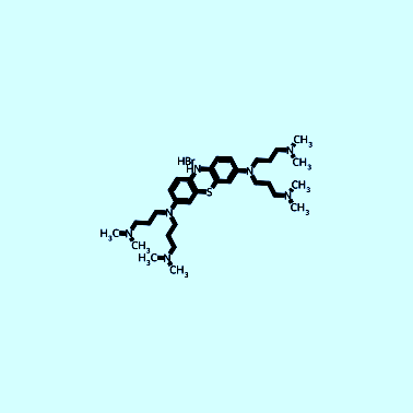 Br.CN(C)CCCN(CCCN(C)C)c1ccc2c(c1)Sc1cc(N(CCCN(C)C)CCCN(C)C)ccc1N2